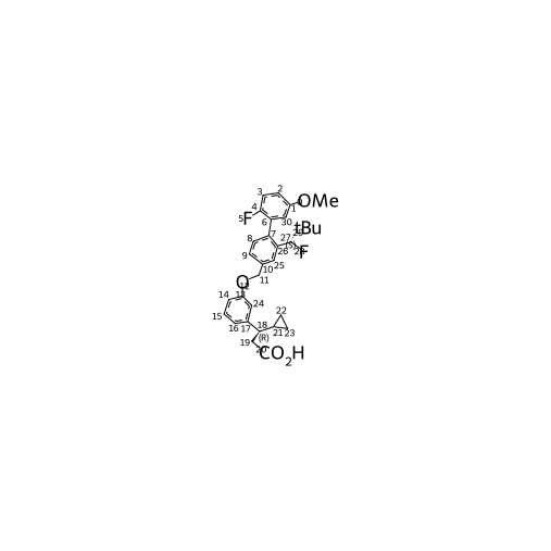 COc1ccc(F)c(-c2ccc(COc3cccc([C@H](CC(=O)O)C4CC4)c3)cc2[C@@H](F)C(C)(C)C)c1